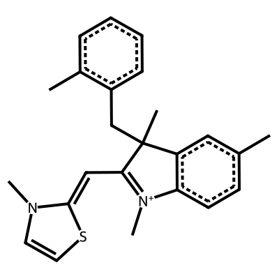 Cc1ccc2c(c1)C(C)(Cc1ccccc1C)C(/C=C1\SC=CN1C)=[N+]2C